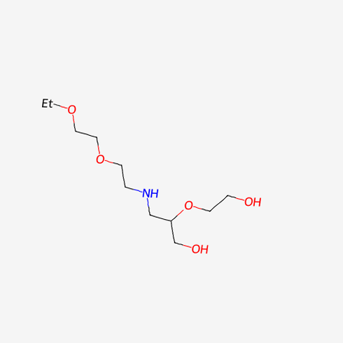 CCOCCOCCNCC(CO)OCCO